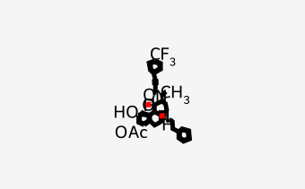 CC(=O)Oc1cc(O)c2c3c1C[C@@H]1[C@@H]4CC[C@H](N(C)C(=O)C#Cc5ccc(C(F)(F)F)cc5)[C@H](O2)[C@]34CCN1CCc1ccccc1